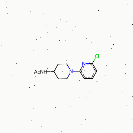 CC(=O)NC1CCN(c2cccc(Cl)n2)CC1